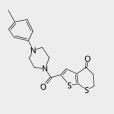 Cc1ccc(N2CCN(C(=O)c3cc4c(s3)SCCC4=O)CC2)cc1